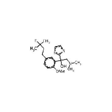 COc1ccc(CCC(C)(C)F)cc1C(O)(CN(C)C)c1nccs1